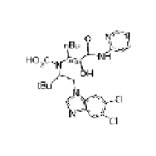 CCCC[C@@H]([C@H](O)C(=O)Nc1ccccn1)N(C(=O)O)C(Cn1cnc2cc(Cl)c(Cl)cc21)C(C)(C)C